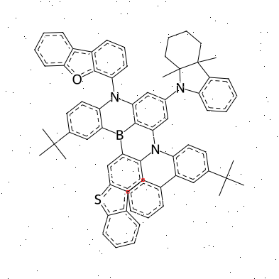 CC(C)(C)c1ccc2c(c1)B1c3cc4sc5ccccc5c4cc3N(c3ccc(C(C)(C)C)cc3-c3ccccc3)c3cc(N4c5ccccc5C5(C)CCCCC45C)cc(c31)N2c1cccc2c1oc1ccccc12